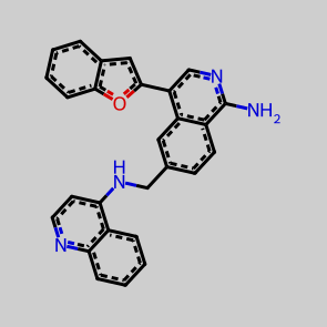 Nc1ncc(-c2cc3ccccc3o2)c2cc(CNc3ccnc4ccccc34)ccc12